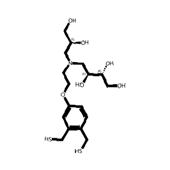 OC[C@@H](O)CN(CCOc1ccc(CS)c(CS)c1)C[C@H](O)[C@H](O)CO